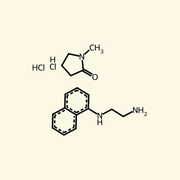 CN1CCCC1=O.Cl.Cl.NCCNc1cccc2ccccc12